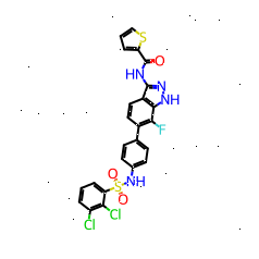 O=C(Nc1n[nH]c2c(F)c(-c3ccc(NS(=O)(=O)c4cccc(Cl)c4Cl)cc3)ccc12)c1[c]ccs1